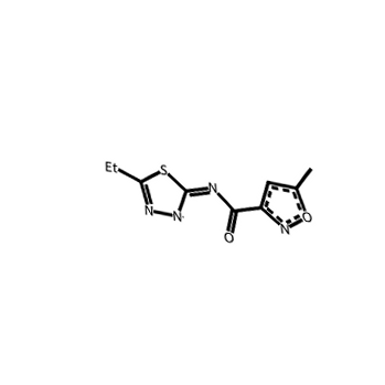 CCC1=N[N]C(=NC(=O)c2cc(C)on2)S1